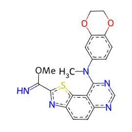 COC(=N)c1nc2ccc3ncnc(N(C)c4ccc5c(c4)OCCO5)c3c2s1